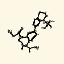 CC(C)OC(=O)N1C[C@H](C)N(C(C)O)c2ccc(-c3ccc4c(c3)N(S(C)(=O)=O)CCC4)cc21